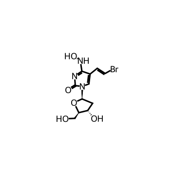 O=c1nc(NO)c(/C=C/Br)cn1[C@H]1C[C@H](O)[C@@H](CO)O1